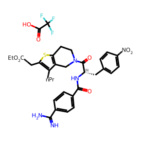 CCCc1c(CC(=O)OCC)sc2c1CN(C(=O)[C@H](Cc1ccc([N+](=O)[O-])cc1)NC(=O)c1ccc(C(=N)N)cc1)CC2.O=C(O)C(F)(F)F